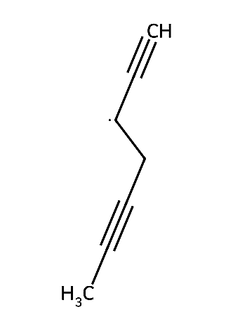 C#C[CH]CC#CC